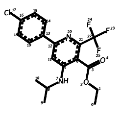 CCOC(=O)c1c(NC(C)C)cc(-c2ccc(Cl)cc2)nc1C(F)(F)F